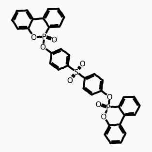 O=P1(Oc2ccc(S(=O)(=O)c3ccc(OP4(=O)Oc5ccccc5-c5ccccc54)cc3)cc2)Oc2ccccc2-c2ccccc21